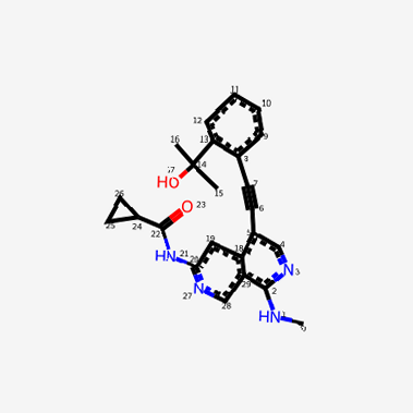 CNc1ncc(C#Cc2ccccc2C(C)(C)O)c2cc(NC(=O)C3CC3)ncc12